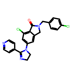 O=C1c2c(Cl)cc(N3CCN=C3c3ccncc3)cc2CN1Cc1ccc(Cl)cc1